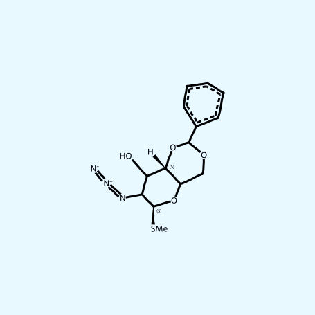 CS[C@@H]1OC2COC(c3ccccc3)O[C@H]2C(O)C1N=[N+]=[N-]